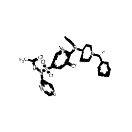 C[C@H](c1ccccc1)N1CCC(N(C)c2ncc(S(=O)(=O)N(OC(=O)C(F)(F)F)c3cscn3)cc2Cl)CC1